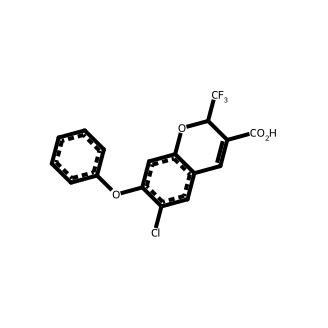 O=C(O)C1=Cc2cc(Cl)c(Oc3ccccc3)cc2OC1C(F)(F)F